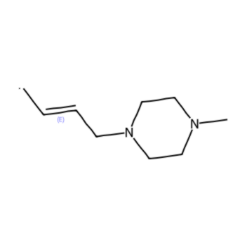 [CH2]/C=C/CN1CCN(C)CC1